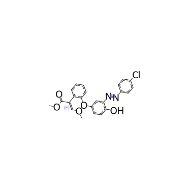 CO/C=C(/C(=O)OC)c1ccccc1Oc1ccc(O)c(/N=N/c2ccc(Cl)cc2)c1